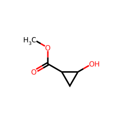 COC(=O)C1CC1O